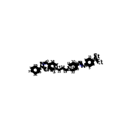 CCN(CC)c1ccc(/N=N/c2cc[n+](CCC[n+]3ccc(/C=N\N(C)c4ccccc4)cc3)cc2)cc1